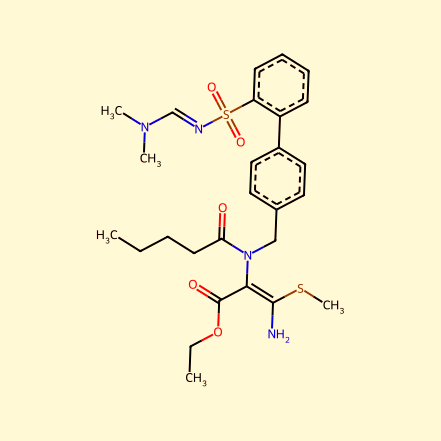 CCCCC(=O)N(Cc1ccc(-c2ccccc2S(=O)(=O)N=CN(C)C)cc1)C(C(=O)OCC)=C(N)SC